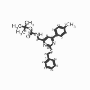 Cc1ccc(-c2cc(CNC(=O)OC(C)(C)C)nc(SCc3ccccc3)n2)cc1